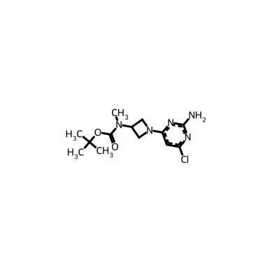 CN(C(=O)OC(C)(C)C)C1CN(c2cc(Cl)nc(N)n2)C1